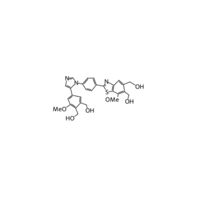 COc1cc(-c2cncn2-c2ccc(-c3nc4cc(CO)c(CO)c(OC)c4s3)cc2)cc(CO)c1CO